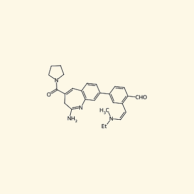 CCN(C)/C=C\c1cc(-c2ccc3c(c2)N=C(N)CC(C(=O)N2CCCC2)=C3)ccc1C=O